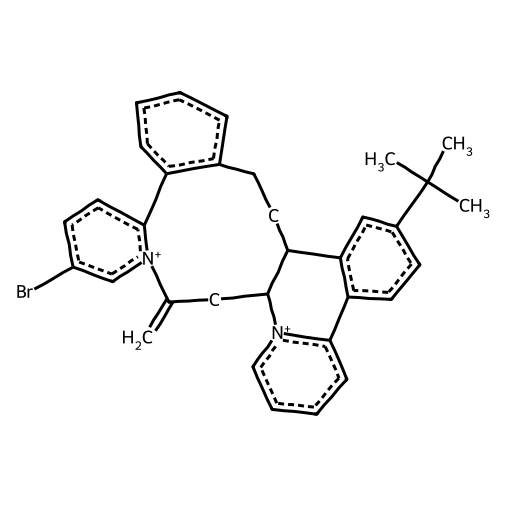 C=C1CC2C(CCc3ccccc3-c3ccc(Br)c[n+]31)c1cc(C(C)(C)C)ccc1-c1cccc[n+]12